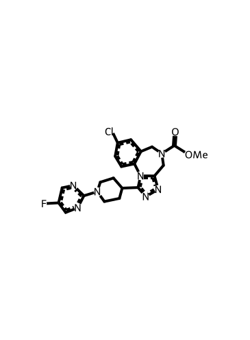 COC(=O)N1Cc2cc(Cl)ccc2-n2c(nnc2C2CCN(c3ncc(F)cn3)CC2)C1